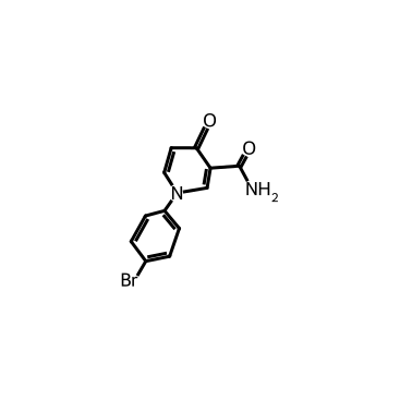 NC(=O)c1cn(-c2ccc(Br)cc2)ccc1=O